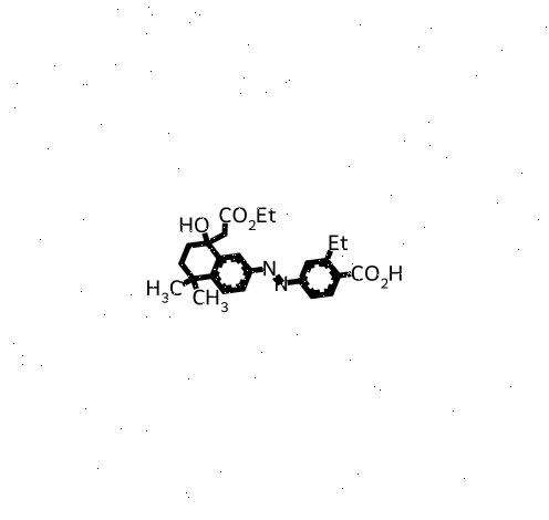 CCOC(=O)CC1(O)CCC(C)(C)c2ccc(N=Nc3ccc(C(=O)O)c(CC)c3)cc21